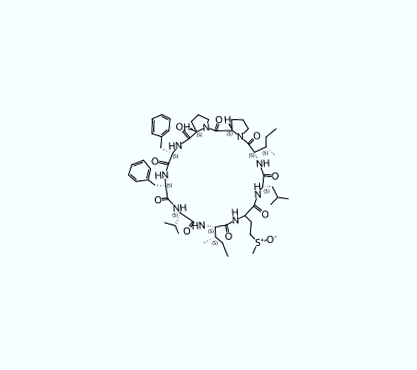 CC[C@H](C)[C@@H]1NC(=O)[C@H](C(C)C)NC(=O)[C@H](Cc2ccccc2)NC(=O)[C@H](Cc2ccccc2)NC(=O)[C@@H]2CCCN2C(=O)[C@@H]2CCCN2C(=O)[C@H]([C@@H](C)CC)NC(=O)[C@H](CC(C)C)NC(=O)C(CC[S+](C)[O-])NC1=O